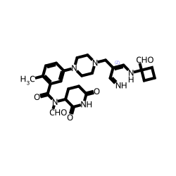 Cc1ccc(N2CCN(C/C(C=N)=C/NC3(C=O)CCC3)CC2)cc1C(=O)N(C=O)C1CCC(=O)NC1=O